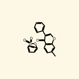 Cc1ccc2c(=O)c(-c3ccccc3)coc2c1.O=S1(=O)Oc2ccc1cc2